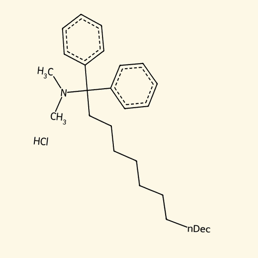 CCCCCCCCCCCCCCCCCC(c1ccccc1)(c1ccccc1)N(C)C.Cl